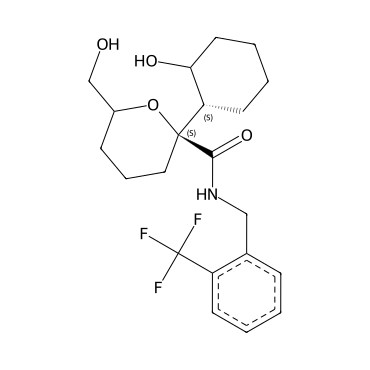 O=C(NCc1ccccc1C(F)(F)F)[C@@]1([C@H]2CCCCC2O)CCCC(CO)O1